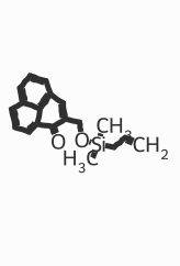 C=CC[Si](C)(C)OCC1=Cc2cccc3cccc(c23)C1=O